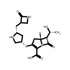 C[C@@H](O)[C@H]1C(=O)N2C(C(=O)O)=C(S[C@@H]3CN[C@H](CC4CNC4=O)C3)C[C@H]12